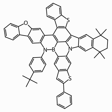 CC(C)(C)c1ccc(N2B3c4cc5cc(-c6ccccc6)sc5cc4-n4c5cc6c(cc5c5c7sc8ccccc8c7c(c3c54)-c3cc4oc5ccccc5c4cc32)C(C)(C)CCC6(C)C)cc1